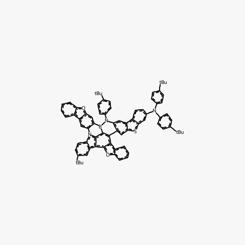 CC(C)(C)c1ccc(N2B3c4cc5oc6ccccc6c5cc4-n4c5ccc(C(C)(C)C)cc5c5c6oc7ccccc7c6c(c3c54)-c3cc4sc5cc(N(c6ccc(C(C)(C)C)cc6)c6ccc(C(C)(C)C)cc6)ccc5c4cc32)cc1